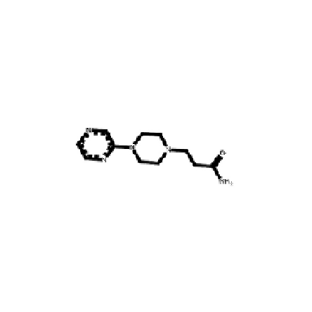 NC(=O)[CH]CN1CCN(c2cnccn2)CC1